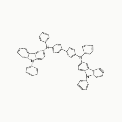 c1ccc2c(c#1)c1cc(N(c3ccccc3)c3ccc(-c4ccc(N(c5ccccc5)c5ccc6c(c5)c5ccccc5n6-c5ccccc5)cc4)cc3)ccc1n2-c1ccccc1